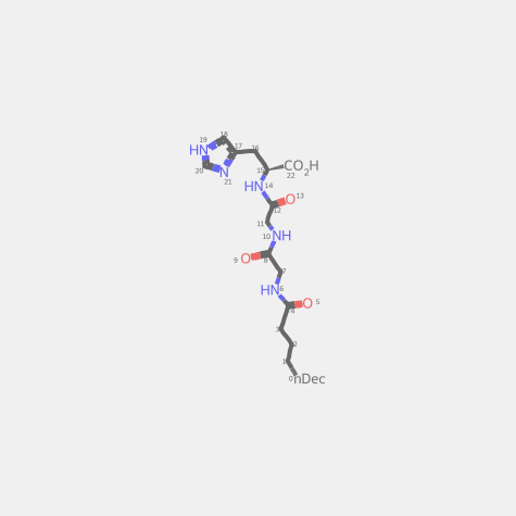 CCCCCCCCCCCCCC(=O)NCC(=O)NCC(=O)N[C@@H](Cc1c[nH]cn1)C(=O)O